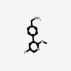 COc1ncc(F)cc1-c1ccc(CN)cc1